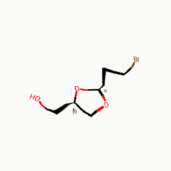 OC[C@@H]1CO[C@H](CCBr)O1